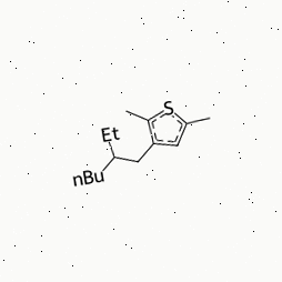 CCCCC(CC)Cc1cc(C)sc1C